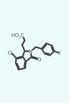 O=C(O)CCC1c2c(Cl)cccc2C(=O)N1Cc1ccc(F)cc1